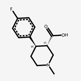 CN1CC[C@@H](c2ccc(F)cc2)[C@H](C(=O)O)C1